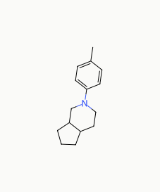 Cc1ccc(N2CCC3CCCC3C2)cc1